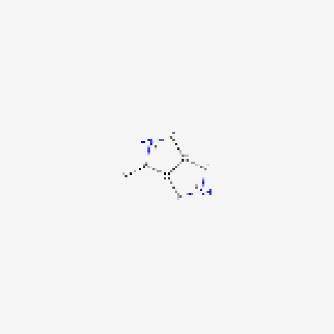 CC1NCC2CNCC21